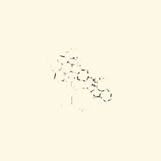 CCC1CNCCc2c([nH]c3ccccc23)[C@@](C(=O)OC)(c2cc3c(cc2OC)N(C)[C@H]2C(O)(C(=O)OC)[C@H](OC(C)=O)[C@]4(CC)C=CCN5CC[C@]32[C@@H]54)CC(CC)C1